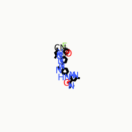 Cc1cc(C(=O)N(C)C)c(Nc2ccc3c(c2)ncn3-c2ccc([C@@H]3C[C@H](F)CO3)c(-n3nc(C#N)cc3C)n2)nn1